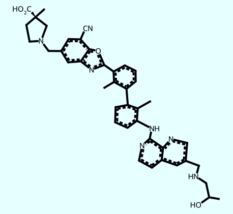 Cc1c(Nc2nccc3cc(CNCC(C)O)cnc23)cccc1-c1cccc(-c2nc3cc(CN4CC[C@@](C)(C(=O)O)C4)cc(C#N)c3o2)c1C